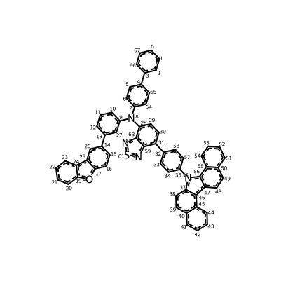 c1ccc(-c2ccc(N(c3cccc(-c4ccc5oc6ccccc6c5c4)c3)c3ccc(-c4ccc(-n5c6ccc7ccccc7c6c6ccc7ccccc7c65)cc4)c4nsnc34)cc2)cc1